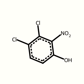 O=[N+]([O-])c1c(O)ccc(Cl)c1Cl